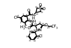 Cc1cc(Cl)cc(C(=O)NC2CS(=O)(=O)C2)c1NC(=O)C1CC(OCC(F)(F)F)=NN1c1ncccc1Cl